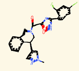 Cn1cc(C2CN(C(=O)c3nc(-c4ccc(F)cc4F)no3)Cc3ccccc32)cn1